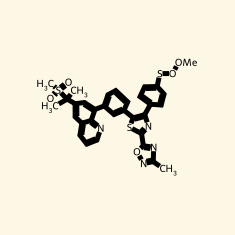 COOSc1ccc(-c2nc(-c3nc(C)no3)sc2-c2cccc(-c3cc(C(C)(C)S(C)(=O)=O)cc4cccnc34)c2)cc1